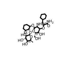 CCC1CCC[C@@H](O[C@@H]2O[C@@H](CO)[C@H](O)C(O[C@@H](CC3CCCCC3)C(N)=O)C2NC(C)=O)[C@@H]1OC1O[C@@H](C)C(O)[C@H](O)[C@@H]1O